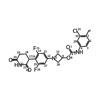 Cc1ccc(NC(=O)OC2CN(c3cc(F)c(C4CCC(=O)NC4=O)c(F)c3)C2)cc1Cl